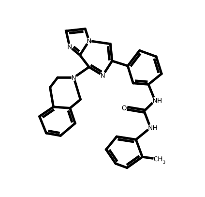 Cc1ccccc1NC(=O)Nc1cccc(-c2cn3ccnc3c(N3CCc4ccccc4C3)n2)c1